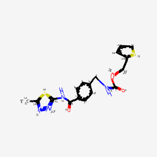 O=C(NCc1ccc(C(=O)Nc2nnc(C(F)(F)F)s2)cc1)OCc1cccs1